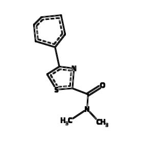 CN(C)C(=O)c1nc(-c2ccccc2)cs1